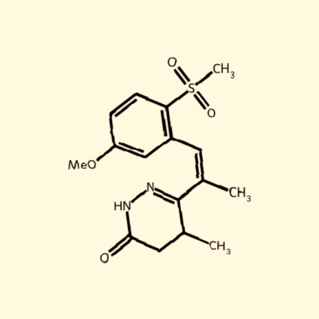 COc1ccc(S(C)(=O)=O)c(C=C(C)C2=NNC(=O)CC2C)c1